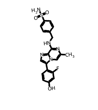 Cc1cn2c(-c3ccc(O)cc3F)cnc2c(NCc2ccc(S(N)(=O)=O)cc2)n1